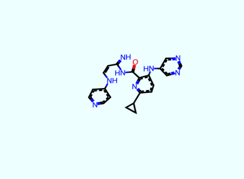 N=C(/C=C\Nc1ccncc1)NC(=O)c1nc(C2CC2)ccc1Nc1cncnc1